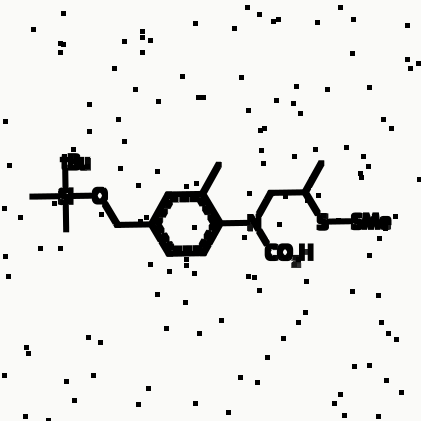 CSSC(C)CN(C(=O)O)c1ccc(CO[Si](C)(C)C(C)(C)C)cc1C